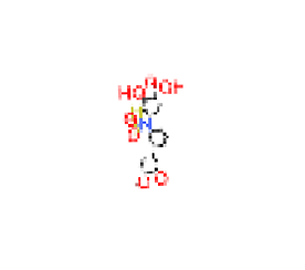 COc1ccc(-c2cccc(N(c3ccc(C(=O)O)c(O)c3)[SH](=O)=O)c2)cc1OC